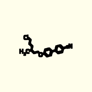 CC(CCCCl)CCOc1ccc(-c2ccc(C#N)cc2)cc1